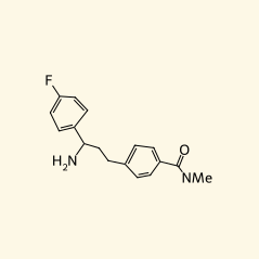 CNC(=O)c1ccc(CCC(N)c2ccc(F)cc2)cc1